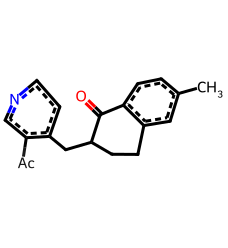 CC(=O)c1cnccc1CC1CCc2cc(C)ccc2C1=O